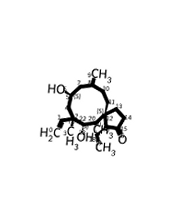 C=C[C@]1(C)C[C@@H](O)CC(C)CC[C@]2(CCC(=O)[C@H]2CC)[C@@H](C)[C@@H]1O